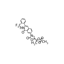 [CH2][C@@H](OS(C)(=O)=O)[C@@H]1CN(c2ccc3cc(-c4ccccc4C(F)(F)F)[nH]c(=O)c3c2)C(=O)O1